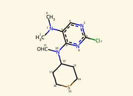 CN(C)c1cnc(Cl)nc1N(C=O)C1CCSCC1